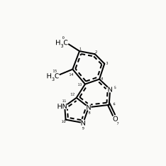 Cc1ccc2nc(=O)n3nc[nH]c3c2c1C